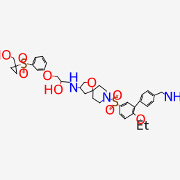 CCOc1ccc(S(=O)(=O)N2CCC3(CC2)CC(NCC(O)COc2cccc(S(=O)(=O)C4(CO)CC4)c2)CO3)cc1-c1ccc(CN)cc1